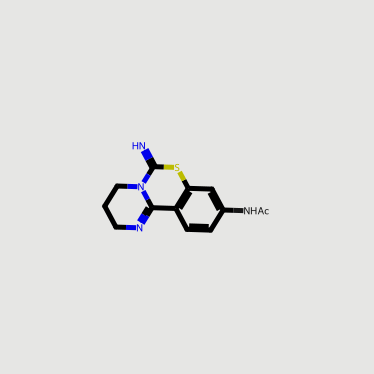 CC(=O)Nc1ccc2c(c1)SC(=N)N1CCCN=C21